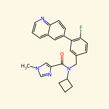 Cn1cnc(C(=O)N(Cc2ccc(F)c(-c3ccc4ncccc4c3)c2)C2CCC2)c1